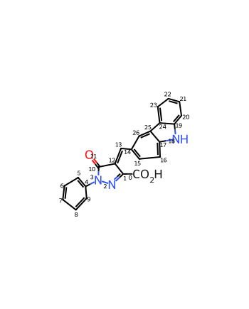 O=C(O)C1=NN(c2ccccc2)C(=O)/C1=C/c1ccc2[nH]c3ccccc3c2c1